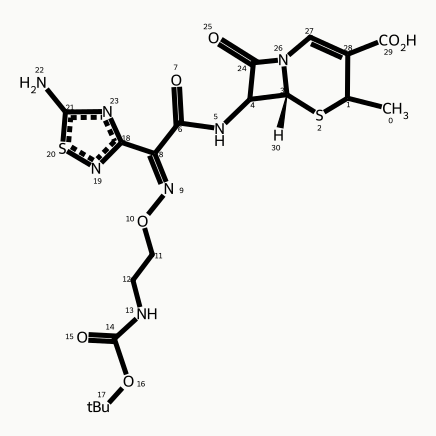 CC1S[C@@H]2C(NC(=O)C(=NOCCNC(=O)OC(C)(C)C)c3nsc(N)n3)C(=O)N2C=C1C(=O)O